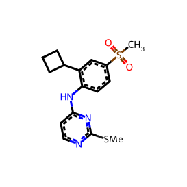 CSc1nccc(Nc2ccc(S(C)(=O)=O)cc2C2CCC2)n1